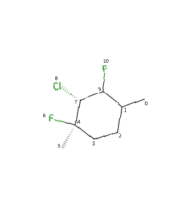 CC1CC[C@@](C)(F)[C@H](Cl)C1F